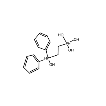 O[PH](O)(O)CC[PH](O)(c1ccccc1)c1ccccc1